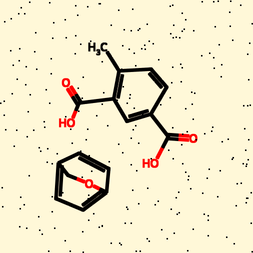 Cc1ccc(C(=O)O)cc1C(=O)O.c1cc2ccc1CO2